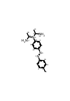 Cc1ccc(N=Nc2ccc(N(C(C)N)C(C)N)cc2)cc1